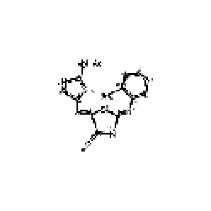 CC(=O)Nc1ncc(C=C2SC(=Nc3ccccc3Br)NC2=O)s1